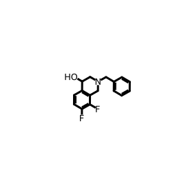 OC1CN(Cc2ccccc2)Cc2c1ccc(F)c2F